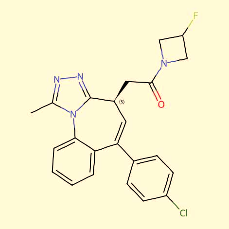 Cc1nnc2n1-c1ccccc1C(c1ccc(Cl)cc1)=C[C@@H]2CC(=O)N1CC(F)C1